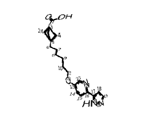 O=C(O)[C@]12C[C@](CCCCCCOc3ccc(-c4ccn[nH]4)nc3)(C1)C2